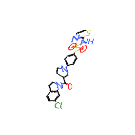 O=C(C1CCN(c2ccc(S(=O)(=O)Nc3nccs3)cc2)C1)N1CCc2ccc(Cl)cc21